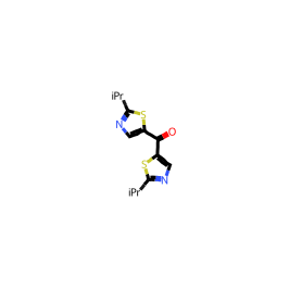 CC(C)c1ncc(C(=O)c2cnc(C(C)C)s2)s1